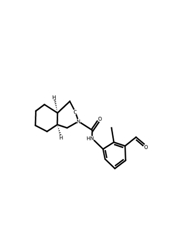 Cc1c(C=O)cccc1NC(=O)N1CC[C@@H]2CCCC[C@@H]2C1